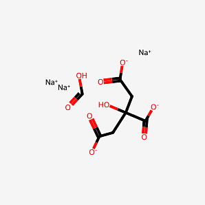 O=C([O-])CC(O)(CC(=O)[O-])C(=O)[O-].O=CO.[Na+].[Na+].[Na+]